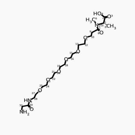 C[C@@H](C(=O)O)N(C)C(=O)CCOCCOCCOCCOCCOCCOCCNC(=O)CN